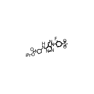 CC(C)OC(=O)N1CCC(Nc2ncnc3c2cnn3-c2ccc(S(C)(=O)=O)cc2F)C1